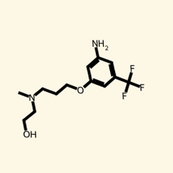 CN(CCO)CCCOc1cc(N)cc(C(F)(F)F)c1